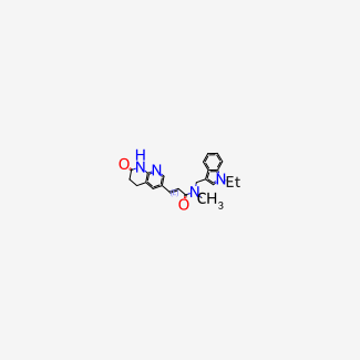 CCn1cc(CN(C)C(=O)/C=C/c2cnc3c(c2)CCC(=O)N3)c2ccccc21